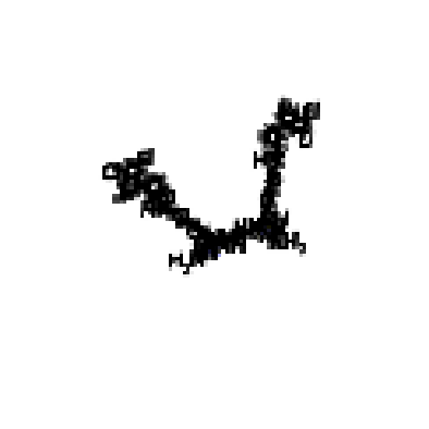 CN1Cc2c(Cl)cc(Cl)cc2[C@H](c2cccc(SNCCOCCOCCN/C(=N\C(N)=O)NCCCCN/C(=N/C(N)=O)NCCOCCOCCNS(=O)(=O)c3cccc([C@@H]4CN(C)Cc5c(Cl)cc(Cl)cc54)c3)c2)C1